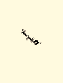 O=C(CCC(=O)OCCCC(F)(F)F)Nc1ccc(Br)cn1